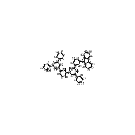 c1ccc(-c2cc(-c3ccccn3)nc(-c3cccc(-c4cc(-c5ccccc5)nc(-c5cccc(-n6c7ccccc7c7ccccc76)c5)n4)n3)c2)cc1